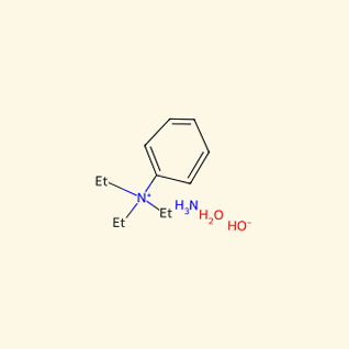 CC[N+](CC)(CC)c1ccccc1.N.O.[OH-]